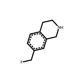 FCc1ccc2c(c1)CNCC2